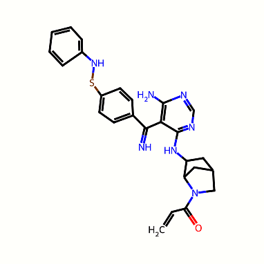 C=CC(=O)N1CC2CC(Nc3ncnc(N)c3C(=N)c3ccc(SNc4ccccc4)cc3)C1C2